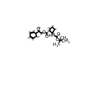 CC(C)(C)OC(=O)N[C@H]1CCC[C@H]1C(=O)OCC(=O)C1C=CC=CC1